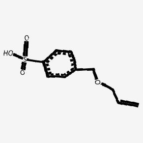 C=CCOCc1ccc(S(=O)(=O)O)cc1